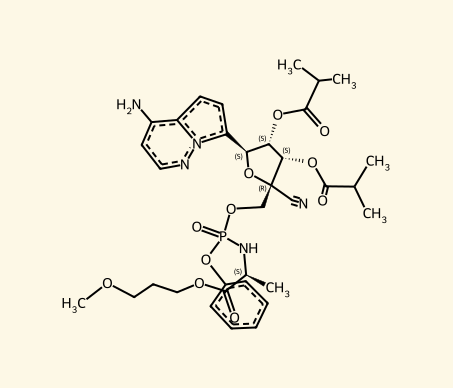 COCCCOC(=O)[C@H](C)NP(=O)(OC[C@@]1(C#N)O[C@@H](c2ccc3c(N)ccnn23)[C@H](OC(=O)C(C)C)[C@@H]1OC(=O)C(C)C)Oc1ccccc1